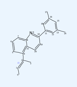 C/C=C(\C)c1cccc2nc(-c3cc(C)cc(C)c3)ccc12